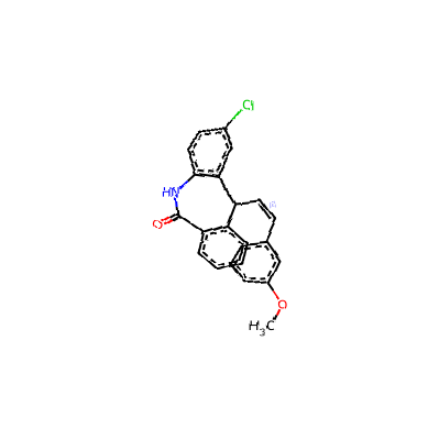 COc1cccc(/C=C\C2c3cc(Cl)ccc3NC(=O)c3ccccc32)c1